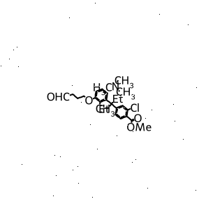 CCC(CC)(c1ccc(C(=O)OC)c(Cl)c1)c1cccc(OCCCC=O)c1C.CN(C)C